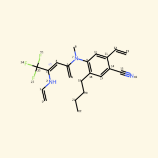 C=CN/C(=C\C(=C)N(C)c1cc(C=C)c(C#N)cc1CCCC)C(F)(F)F